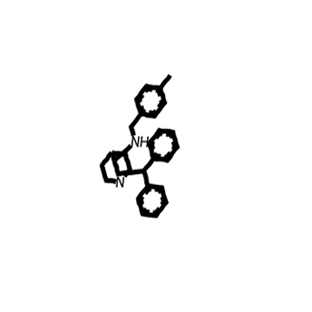 Cc1ccc(CNC2C3CCN(CC3)C2C(c2ccccc2)c2ccccc2)cc1